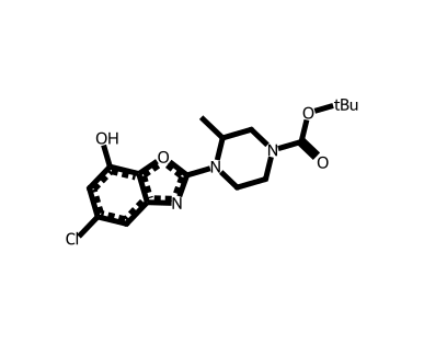 CC1CN(C(=O)OC(C)(C)C)CCN1c1nc2cc(Cl)cc(O)c2o1